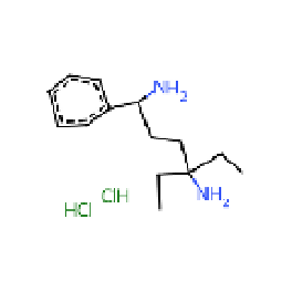 CCC(N)(CC)CCC(N)c1ccccc1.Cl.Cl